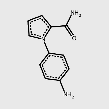 NC(=O)c1cccn1-c1ccc(N)cc1